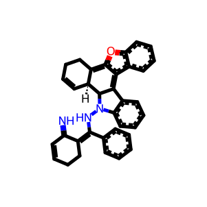 N=C1C=CCC/C1=C(/NN1c2ccccc2C2=c3c(oc4ccccc34)=C3CCC=C[C@@H]3C21)c1ccccc1